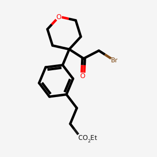 CCOC(=O)CCc1cccc(C2(C(=O)CBr)CCOCC2)c1